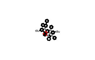 CC(C)(C)c1ccc(N(c2ccc3c(c2)N(c2ccccc2)c2cc(C(C)(C)C)cc4c2B3c2c(c3c(n2-c2ccccc2)CCCC3)N4c2ccccc2)c2ccc(-c3ccccc3)c3ccccc23)c(-c2ccccc2)c1